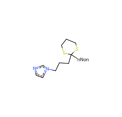 CCCCCCCCCC1(CCCn2ccnc2)SCCCS1